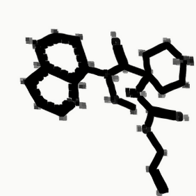 C=CCOC(=O)NC1(C(=O)N(OC)c2ccnc3cccnc23)CCNCC1